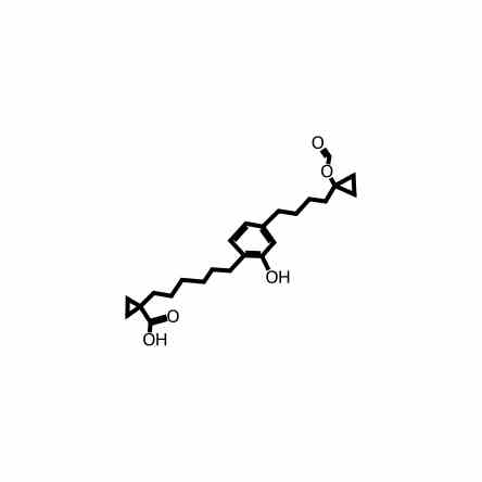 O=COC1(CCCCc2ccc(CCCCCCC3(C(=O)O)CC3)c(O)c2)CC1